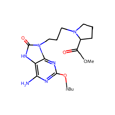 CCCCOc1nc(N)c2[nH]c(=O)n(CCCN3CCCC3C(=O)OC)c2n1